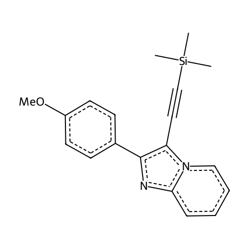 COc1ccc(-c2nc3ccccn3c2C#C[Si](C)(C)C)cc1